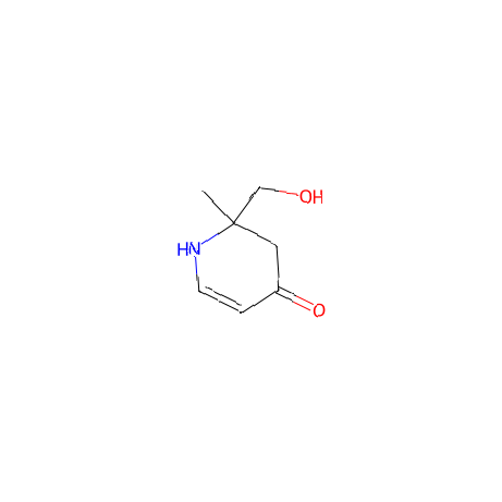 CC1(CO)CC(=O)C=CN1